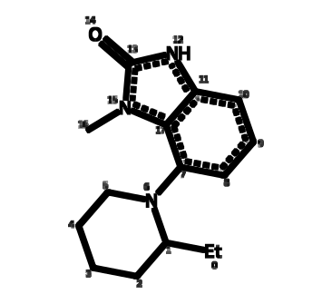 CCC1CCCCN1c1cccc2[nH]c(=O)n(C)c12